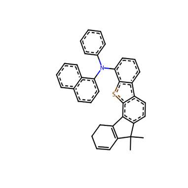 CC1(C)C2=C(CCC=C2)c2c1ccc1c2sc2c(N(c3ccccc3)c3cccc4ccccc34)cccc21